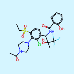 CCS(=O)(=O)c1ccc(C(NC(=O)c2ccccc2O)C(C)(O)C(F)(F)F)c(Cl)c1N1CCN(C(C)=O)CC1